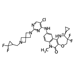 Cn1c(=O)c2c(c3cc(Nc4nc(N5CC6(CN(CC7CC7(F)F)C6)C5)ncc4Cl)ccc31)N[C@@H](C1CC1)C(F)(F)CO2